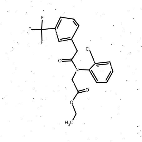 CCOC(=O)CN(C(=O)Cc1cccc(C(F)(F)F)c1)c1ccccc1Cl